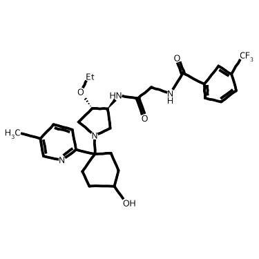 CCO[C@H]1CN(C2(c3ccc(C)cn3)CCC(O)CC2)C[C@@H]1NC(=O)CNC(=O)c1cccc(C(F)(F)F)c1